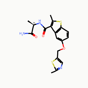 Cc1ncc(COc2ccc3sc(C)c(C(=O)N[C@H](C)C(N)=O)c3c2)s1